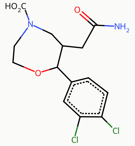 NC(=O)CC1CN(C(=O)O)CCOC1c1ccc(Cl)c(Cl)c1